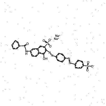 O=C(Nc1ccc2c(O)c(N=Nc3ccc(N=Nc4ccc(S(=O)(=O)[O-])cc4)cc3)c(S(=O)(=O)[O-])cc2c1)c1ccccc1.[Na+].[Na+]